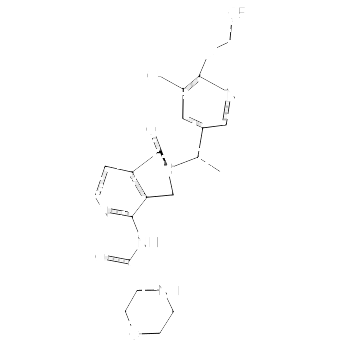 CC(c1cnc(OCC(F)(F)F)c(Cl)c1)N1Cc2c(ccnc2NC(=O)[C@H]2COCCN2)C1=O